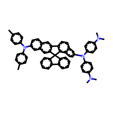 Cc1ccc(N(c2ccc(C)cc2)c2ccc3cc4c(cc3c2)C2(c3ccccc3-c3ccccc32)c2c-4ccc3cc(N(c4ccc(N(C)C)cc4)c4ccc(N(C)C)cc4)ccc23)cc1